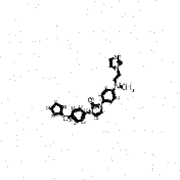 CN(CCn1ccnc1)c1ccc(-n2ccn(-c3ccc(OC4CCCC4)cc3)c2=O)cc1